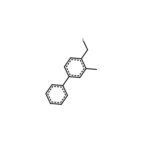 Cc1cc(-c2ccccc2)ccc1CI